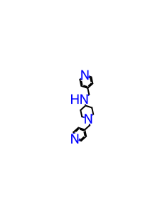 c1cc(CNC2CCN(Cc3ccncc3)CC2)ccn1